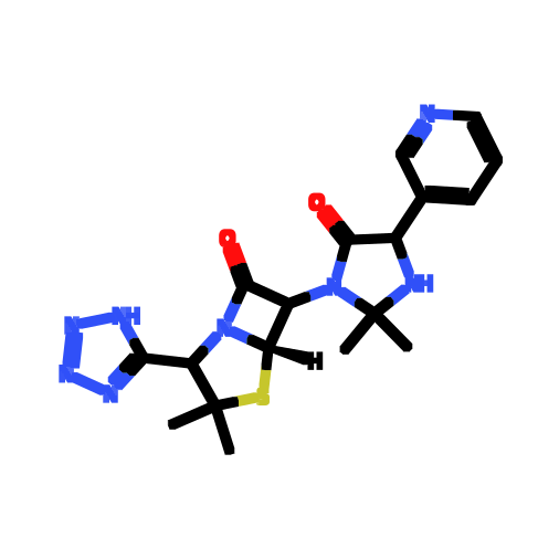 CC1(C)S[C@H]2C(N3C(=O)C(c4cccnc4)NC3(C)C)C(=O)N2C1c1nnn[nH]1